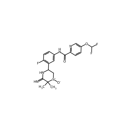 CC1(C)C(=N)NC(c2cc(NC(=O)c3ccc(OC(F)F)cn3)ccc2F)C[S+]1[O-]